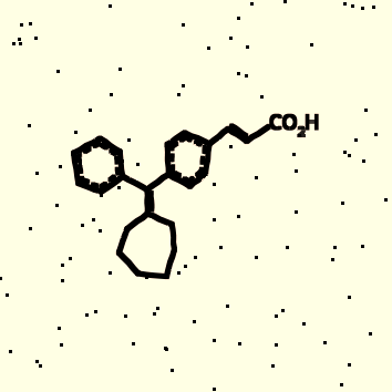 O=C(O)C=Cc1ccc(C(=C2CCCCCC2)c2ccccc2)cc1